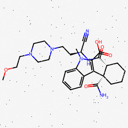 COCCN1CCN(CC[C@@H](C#N)NC(=O)[C@@H]2CCCC[C@@]2(C(N)=O)c2c(C(=O)O)n(C)c3ccccc23)CC1